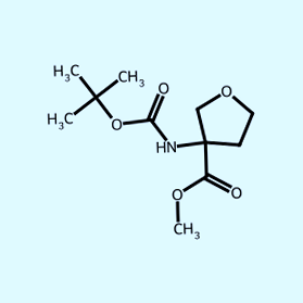 COC(=O)C1(NC(=O)OC(C)(C)C)CCOC1